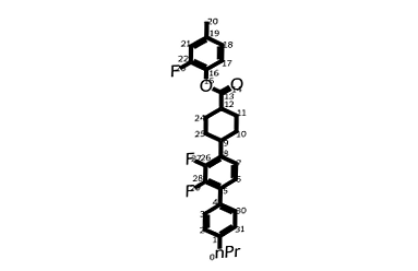 CCCc1ccc(-c2ccc(C3CCC(C(=O)Oc4ccc(C)cc4F)CC3)c(F)c2F)cc1